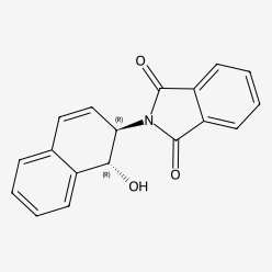 O=C1c2ccccc2C(=O)N1[C@@H]1C=Cc2ccccc2[C@H]1O